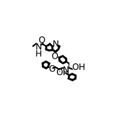 CCNC(=O)c1ccc2c(Oc3ccc(C[C@@H](CO)N(Cc4ccccc4)C[C@H](O)COc4ccccc4)cc3)ccnc2c1